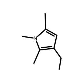 CCc1cc(C)n(C)c1C